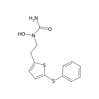 NC(=O)N(O)CCc1ccc(Sc2ccccc2)s1